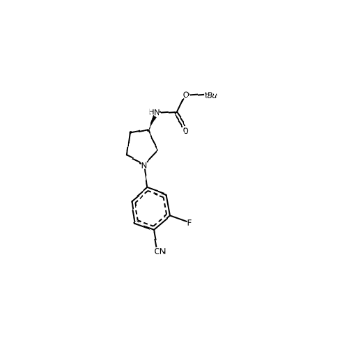 CC(C)(C)OC(=O)N[C@@H]1CCN(c2ccc(C#N)c(F)c2)C1